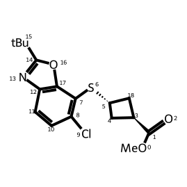 COC(=O)[C@H]1C[C@H](Sc2c(Cl)ccc3nc(C(C)(C)C)oc23)C1